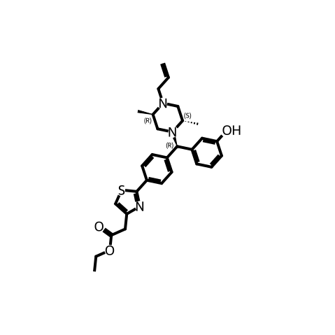 C=CCN1C[C@H](C)N([C@H](c2ccc(-c3nc(CC(=O)OCC)cs3)cc2)c2cccc(O)c2)C[C@H]1C